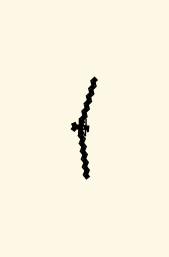 CCCCCCCCCCCCN1C=CN(CCCCCCCCCCCC)C1C(C)C